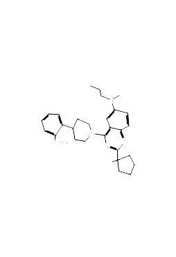 COc1ccccc1C1CCN(c2nc(C3(F)CCCC3)nc3ccc(N(C)CCO)cc23)CC1